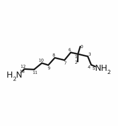 CC(C)(CCN)CCCCCCCN